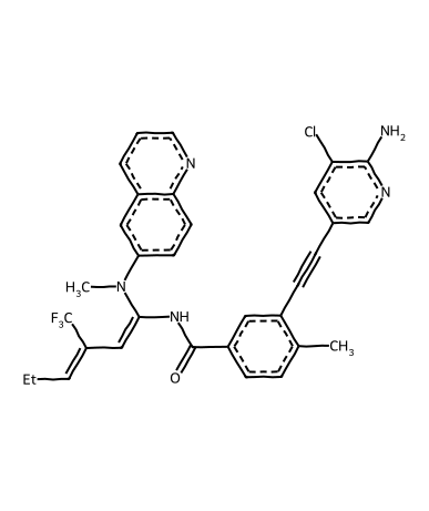 CC/C=C(/C=C(/NC(=O)c1ccc(C)c(C#Cc2cnc(N)c(Cl)c2)c1)N(C)c1ccc2ncccc2c1)C(F)(F)F